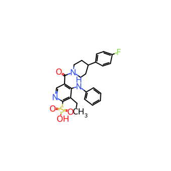 CCc1c(S(=O)(=O)O)ncc(C(=O)N2CCC(c3ccc(F)cc3)CC2)c1Nc1ccccc1